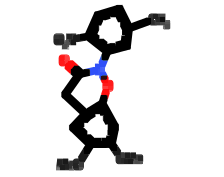 COc1cc2c(cc1OC)ON(c1cc(C)ccc1[N+](=O)[O-])C(=O)C2